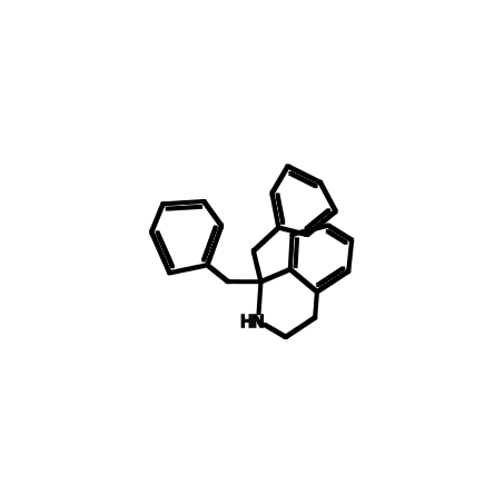 c1ccc(CC2(Cc3ccccc3)NCCc3ccccc32)cc1